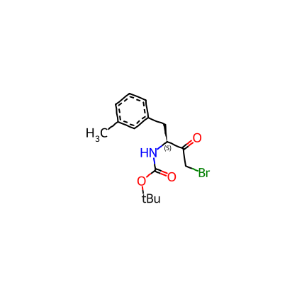 Cc1cccc(C[C@H](NC(=O)OC(C)(C)C)C(=O)CBr)c1